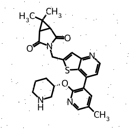 Cc1cnc(O[C@H]2CCCNC2)c(-c2ccnc3cc(CN4C(=O)C5C(C4=O)C5(C)C)sc23)c1